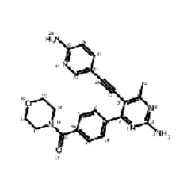 Cc1nc(N)nc(-c2ccc(C(=O)N3CCOCC3)cc2)c1C#Cc1ccc(N)nc1